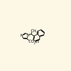 CCOC(=O)c1cncn1C(C)c1cccc2ccccc12